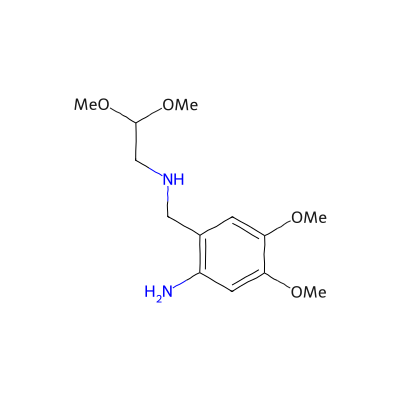 COc1cc(N)c(CNCC(OC)OC)cc1OC